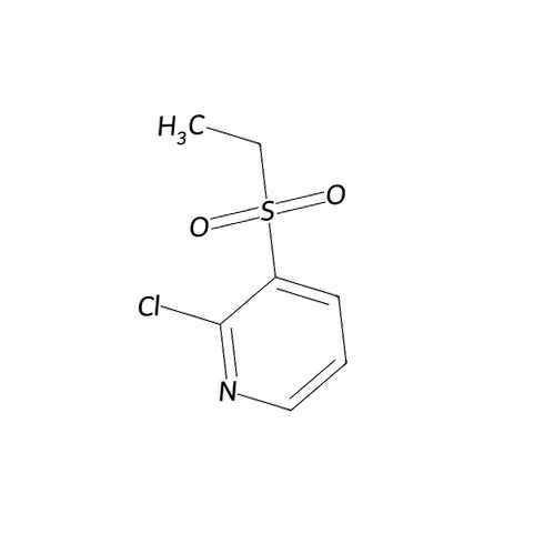 CCS(=O)(=O)c1cccnc1Cl